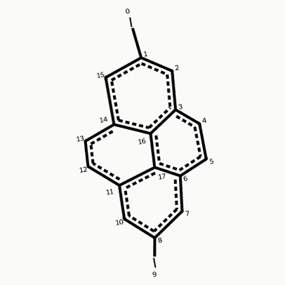 Ic1cc2ccc3cc(I)cc4ccc(c1)c2c34